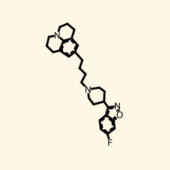 Fc1ccc2c(C3CCN(CCCCc4cc5c6c(c4)CCCN6CCC5)CC3)noc2c1